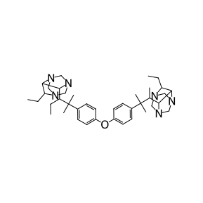 CCC1C2C(C(C)C(C)(C)c3ccc(Oc4ccc(C(C)(C)C(CC)C5C6C(CC)N7CN6CN5C7)cc4)cc3)N3CN1CN2C3